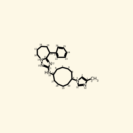 Cc1cn(C2CCCCC(Nc3nc4n(n3)CCCCC4c3ccccc3)CCCC2)cn1